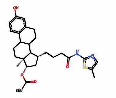 CCCCC(=O)O[C@H]1C[C@@H](CCCC(=O)Nc2ncc(C)s2)C2C3CCc4cc(O)ccc4C3CC[C@@]21C